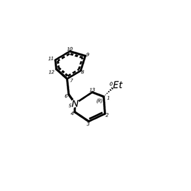 CC[C@@H]1C=CCN(Cc2ccccc2)C1